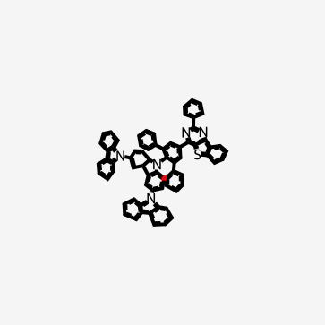 C1=CC2C(C=C1n1c3ccccc3c3ccccc31)c1cc(-n3c4ccccc4c4ccccc43)ccc1N2c1c(-c2ccccc2)cc(-c2nc(-c3ccccc3)nc3c2sc2ccccc23)cc1-c1ccccc1